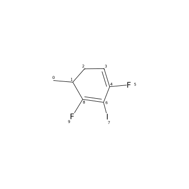 CC1CC=C(F)C(I)=C1F